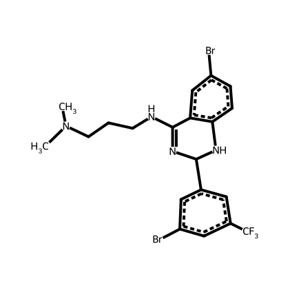 CN(C)CCCNC1=NC(c2cc(Br)cc(C(F)(F)F)c2)Nc2ccc(Br)cc21